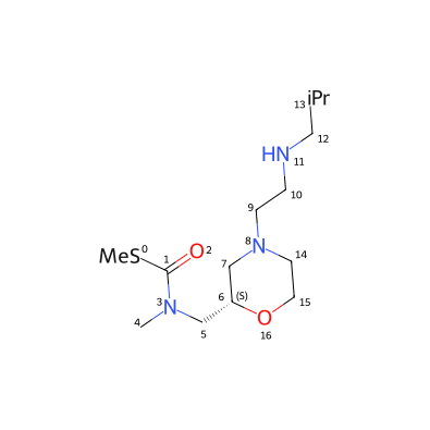 CSC(=O)N(C)C[C@@H]1CN(CCNCC(C)C)CCO1